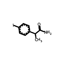 CC(C(N)=O)c1ccc(I)cc1